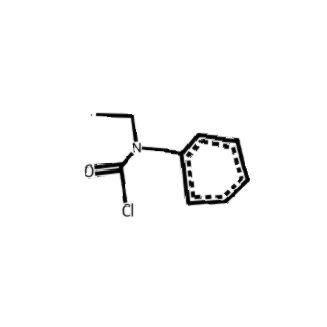 [CH2]CN(C(=O)Cl)c1ccccc1